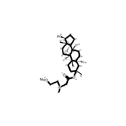 COCCN(C)CC(=O)O[C@]1(C)CC[C@@]2(C)[C@@H](CC[C@@H]3[C@@H]2CC[C@]2(C)[C@@H](C(C)=O)CC[C@@H]32)C1